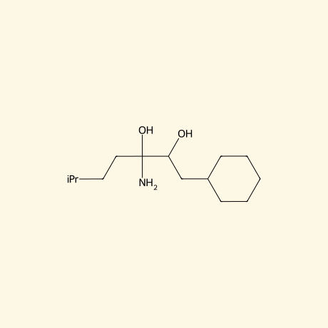 CC(C)CCC(N)(O)C(O)CC1CCCCC1